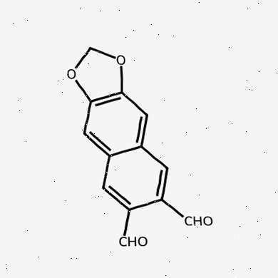 O=Cc1cc2cc3c(cc2cc1C=O)OCO3